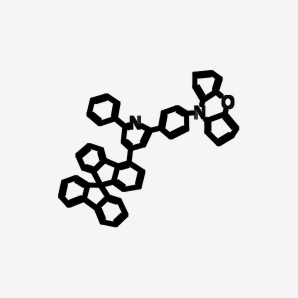 c1ccc(-c2cc(-c3cccc4c3-c3ccccc3C43c4ccccc4-c4ccccc43)cc(-c3ccc(N4c5ccccc5Oc5ccccc54)cc3)n2)cc1